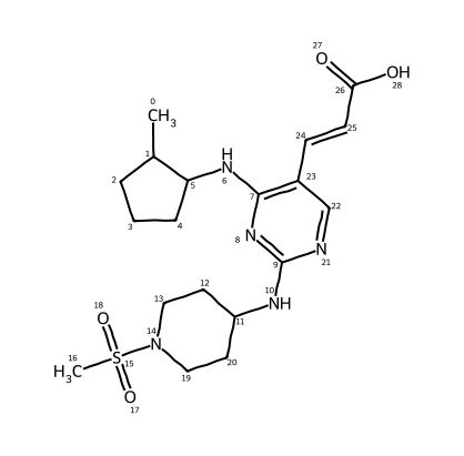 CC1CCCC1Nc1nc(NC2CCN(S(C)(=O)=O)CC2)ncc1/C=C/C(=O)O